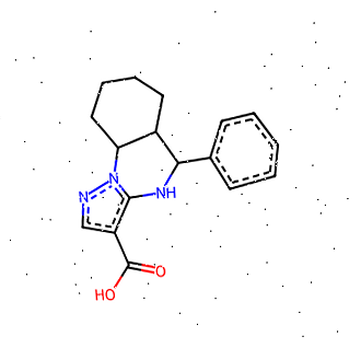 O=C(O)c1cnn2c1NC(c1ccccc1)C1CCCCC12